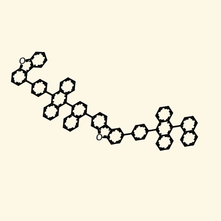 c1ccc2c(-c3c4ccccc4c(-c4ccc(-c5ccc6oc7cc(-c8ccc(-c9c%10ccccc%10c(-c%10ccc(-c%11cccc%12oc%13ccccc%13c%11%12)cc%10)c%10ccccc9%10)c9ccccc89)ccc7c6c5)cc4)c4ccccc34)cccc2c1